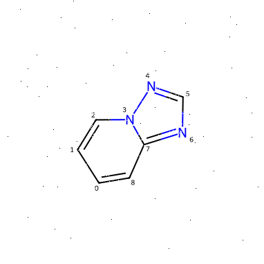 c1ccn2ncnc2c1